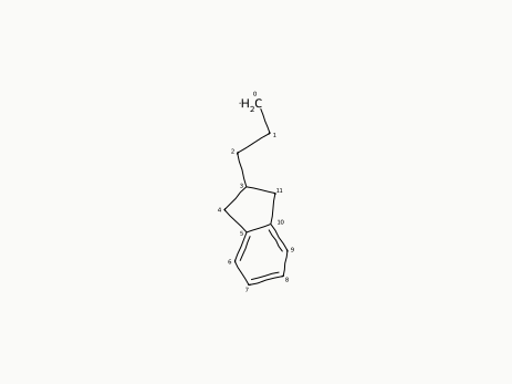 [CH2]CCC1Cc2ccccc2C1